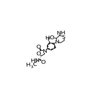 CNC(=O)[C@H]1CN(c2ccc(N3CCSC(=N)C3O)c(F)c2)C(=O)O1